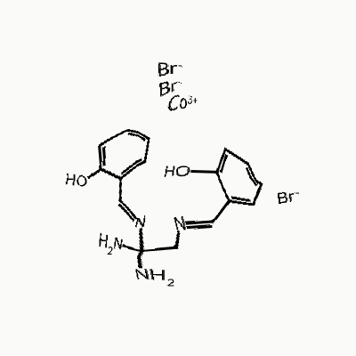 NC(N)(CN=Cc1ccccc1O)N=Cc1ccccc1O.[Br-].[Br-].[Br-].[Co+3]